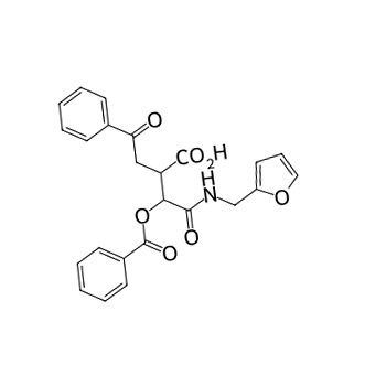 O=C(CC(C(=O)O)C(OC(=O)c1ccccc1)C(=O)NCc1ccco1)c1ccccc1